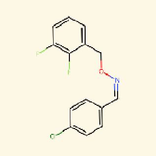 Fc1cccc(CO/N=[C]\c2ccc(Cl)cc2)c1F